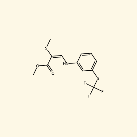 COC(=O)/C(=C\Nc1cccc(SC(F)(F)F)c1)SC